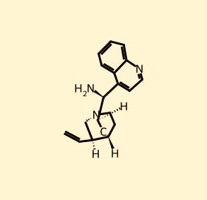 C=C[C@H]1C[N@]2CC[C@H]1C[C@@H]2[C@@H](N)c1ccnc2ccccc12